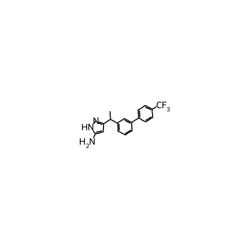 CC(c1cccc(-c2ccc(C(F)(F)F)cc2)c1)c1cc(N)[nH]n1